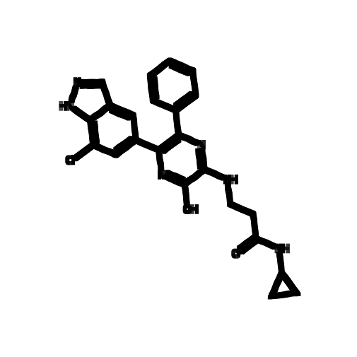 O=C(CCNc1nc(-c2ccccc2)c(-c2cc(Cl)c3[nH]ncc3c2)nc1O)NC1CC1